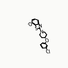 [O]c1cccc2nc(N3CCC(Oc4cccc(Cl)c4)CC3)sc12